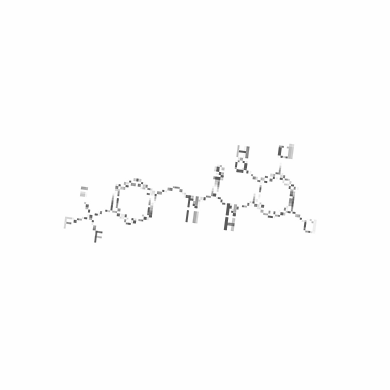 Oc1c(Cl)cc(Cl)cc1NC(=S)NCc1ccc(C(F)(F)F)cc1